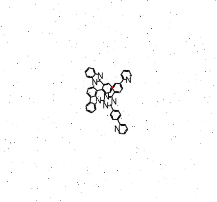 c1ccc(-c2ccc(-c3nc(-c4ccc(-c5ccccn5)cc4)nc(-n4c5ccccc5c5ccc6c(c7ccccc7c7nc8ccccc8n67)c54)n3)cc2)nc1